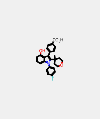 CC1(c2c(-c3ccc(C(=O)O)cc3)c3c(O)cccc3n2-c2ccc(F)cc2)CCOCC1